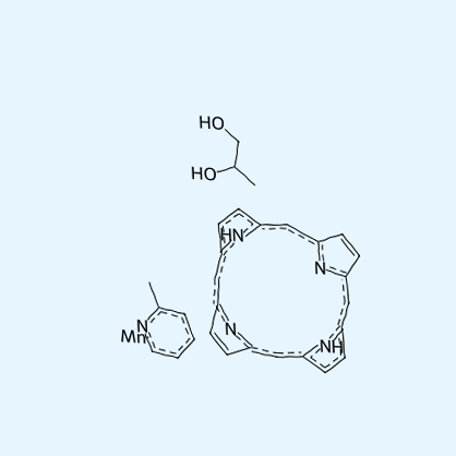 C1=Cc2cc3ccc(cc4nc(cc5ccc(cc1n2)[nH]5)C=C4)[nH]3.CC(O)CO.Cc1ccccn1.[Mn]